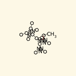 CCCCc1ccc2c(c1)c1cc(-c3cc4c5c(c3)N(c3ccccc3)c3cc(-c6ccccc6)ccc3B5c3ccc(-c5ccccc5)cc3N4c3ccccc3)ccc1n2-c1ccc(-c2nc(-c3ccccc3)nc(-c3ccccc3)n2)cc1-c1nc(-c2ccccc2)nc(-c2ccccc2)n1